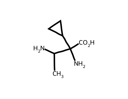 CC(N)C(N)(C(=O)O)C1CC1